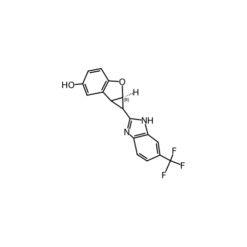 Oc1ccc2c(c1)C1C(c3nc4ccc(C(F)(F)F)cc4[nH]3)[C@@H]1O2